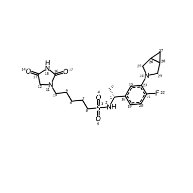 C[C@@H](NS(=O)(=O)CCCCCN1CC(=O)NC1=O)c1ccc(F)c(N2CC3CC3C2)c1